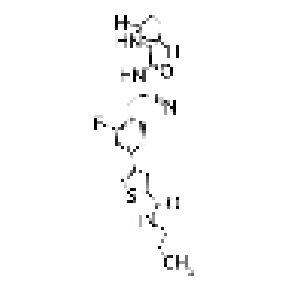 CCCNC(=O)c1cc(-c2ccc(C[C@@H](C#N)NC(=O)[C@H]3N[C@@H]4CC[C@H]3C4)c(F)c2)cs1